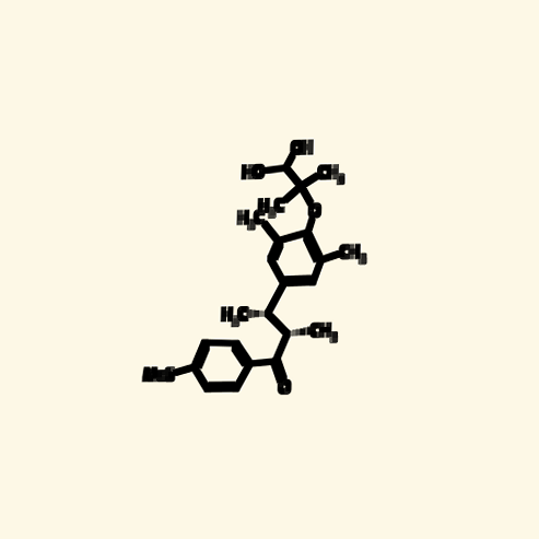 CSc1ccc(C(=O)[C@@H](C)[C@H](C)c2cc(C)c(OC(C)(C)C(O)O)c(C)c2)cc1